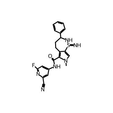 Cn1cc2c(c1C(=O)Nc1cc(F)nc(C#N)c1)CCC(c1ccccc1)NS2=N